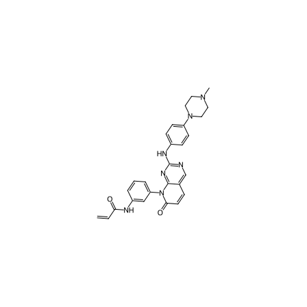 C=CC(=O)Nc1cccc(-n2c(=O)ccc3cnc(Nc4ccc(N5CCN(C)CC5)cc4)nc32)c1